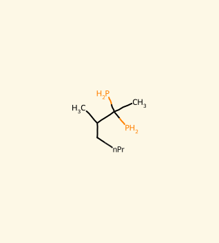 CCCCC(C)C(C)(P)P